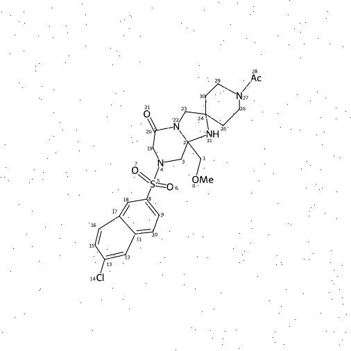 COCC12CN(S(=O)(=O)c3ccc4cc(Cl)ccc4c3)CC(=O)N1CC1(CCN(C(C)=O)CC1)N2